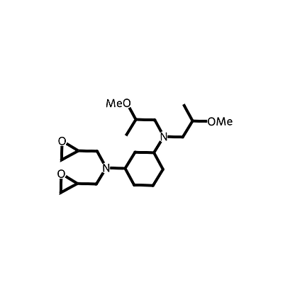 COC(C)CN(CC(C)OC)C1CCCC(N(CC2CO2)CC2CO2)C1